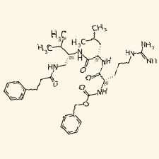 CC(C)C[C@H](NC(=O)[C@H](CCCNC(=N)N)NC(=O)OCc1ccccc1)C(=O)N[C@H](CNC(=O)CCc1ccccc1)C(C)C